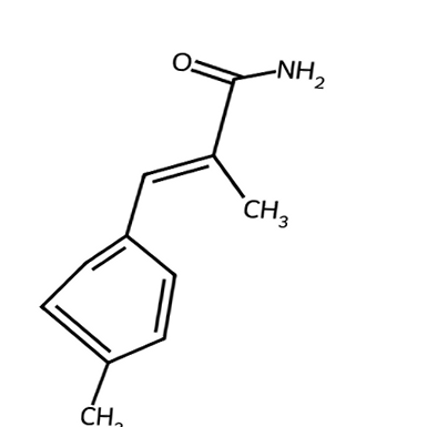 C/C(=C\c1ccc(C)cc1)C(N)=O